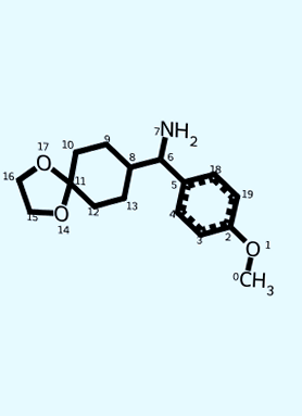 COc1ccc(C(N)C2CCC3(CC2)OCCO3)cc1